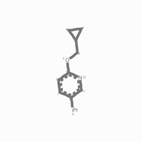 CC(C)c1ccc(OCC2CC2)nc1